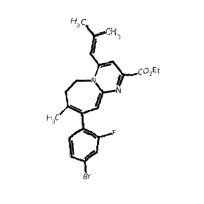 CCOC(=O)C1=NC2=CC(c3ccc(Br)cc3F)=C(C)CCN2C(C=C(C)C)=C1